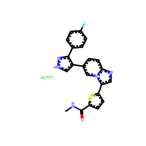 CNC(=O)c1ccc(-c2cnc3ccc(-c4c[nH]nc4-c4ccc(F)cc4)cn23)s1.Cl.Cl